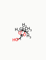 CC1(C)OB(CO)OC1(C)C